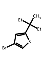 CCC(C)(CC)c1cc(Br)cs1